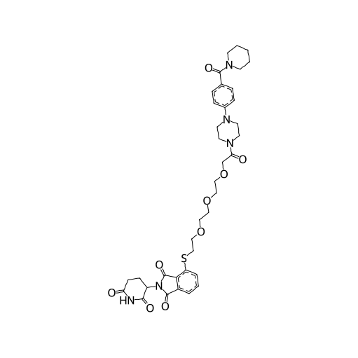 O=C1CCC(N2C(=O)c3cccc(SCCOCCOCCOCC(=O)N4CCN(c5ccc(C(=O)N6CCCCC6)cc5)CC4)c3C2=O)C(=O)N1